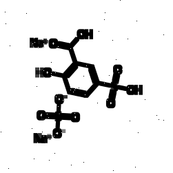 O=C(O)c1cc(S(=O)(=O)O)ccc1O.O=S(=O)([O-])[O-].[Na+].[Na+]